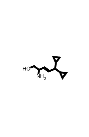 NC(C=CC(C1CC1)C1CC1)CO